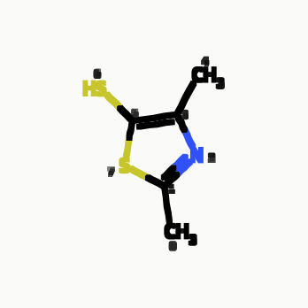 Cc1nc(C)c(S)s1